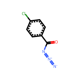 [N-]=[N+]=NC(=O)c1ccc(Cl)cc1